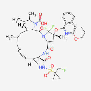 CCC(C)N(C(=O)O)[C@@H]1C(=O)N2[C@@H](C[C@@](C)(Oc3nc4c(c5ccccc35)CCCO4)C2(F)F)C(=O)N[C@]2(C(=O)NS(=O)(=O)C3(CF)CC3)C[C@H]2/C=C\CC[C@H](C)C[C@H]1C